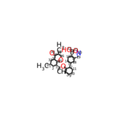 Cc1cc([C@H](C)Oc2ccccc2-c2ccc3c(c2)C=NOB3O)c2occ(C)c(=O)c2c1